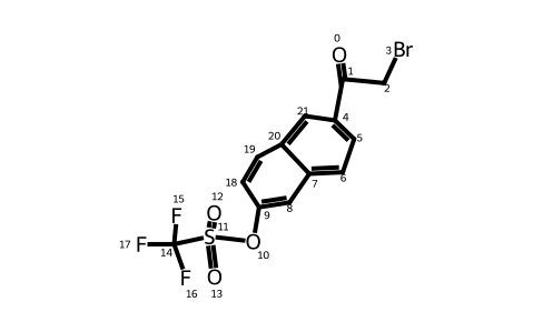 O=C(CBr)c1ccc2cc(OS(=O)(=O)C(F)(F)F)ccc2c1